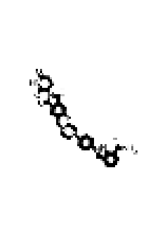 NC(=O)c1cccc2cn(-c3ccc(N4CCN(Cc5cc6c(cc5F)C(=O)N(C5CCC(=O)NC5=O)C6=O)CC4)cc3)nc12